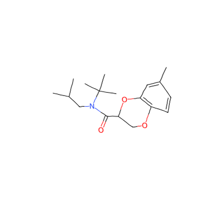 Cc1ccc2c(c1)OC(C(=O)N(CC(C)C)C(C)(C)C)CO2